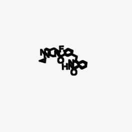 O=C(c1cc(Cc2n[nH]c(=O)c3ccccc23)ccc1F)N1CCc2cnn(C3CC3)c2C1